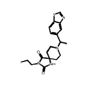 CC(c1ccc2scnc2c1)N1CCC2(CC1)NC(=O)N(CCI)C2=O